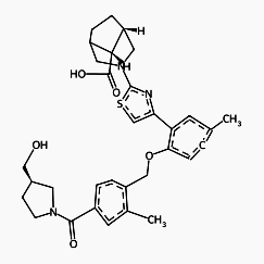 Cc1ccc(OCc2ccc(C(=O)N3CC[C@@H](CO)C3)cc2C)c(-c2csc(N3CC4CC[C@H](C3)[C@@H]4C(=O)O)n2)c1